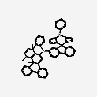 CC1C=CC2(C)C3=C1C1(C)C(=CC3(C)N(c3ccc4c(c3)C3(c5ccccc5-4)c4ccccc4N(c4ccccc4)c4ccccc43)c3ccccc32)c2ccccc2-c2ccccc21